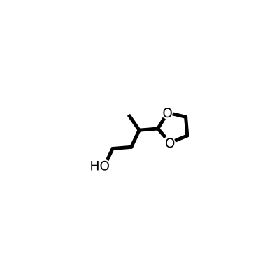 CC(CCO)C1OCCO1